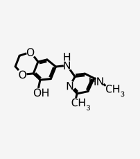 CNc1cc(C)nc(Nc2cc(O)c3c(c2)OCCO3)c1